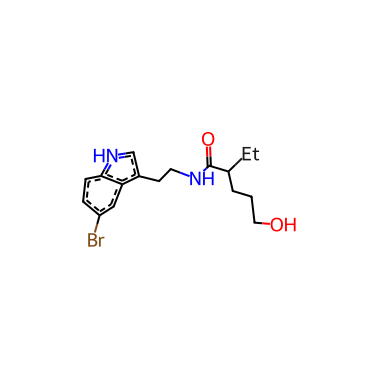 CCC(CCCO)C(=O)NCCc1c[nH]c2ccc(Br)cc12